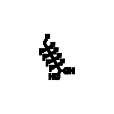 OC(O)C(F)(F)C(F)(F)C(F)(F)C(F)(F)CF